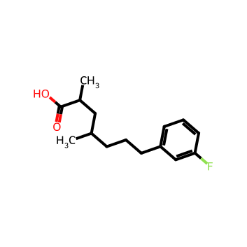 CC(CCCc1cccc(F)c1)CC(C)C(=O)O